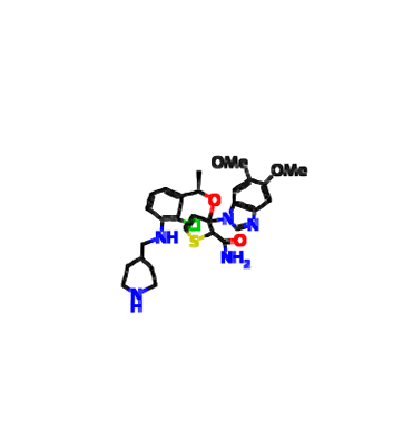 COc1cc2ncn(C3(O[C@H](C)c4cccc(NCC5CCNCC5)c4Cl)C=CSC3C(N)=O)c2cc1OC